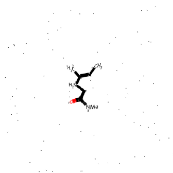 CC=C(C)[SiH2]CC(=O)NC